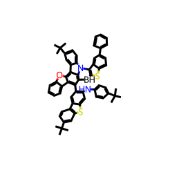 CC(C)(C)c1ccc(Nc2cc3sc4cc(C(C)(C)C)ccc4c3cc2-c2c3c4c(c5cc(C(C)(C)C)ccc5n4-c4c(sc5ccc(-c6ccccc6)cc45)B3)c3oc4ccccc4c23)cc1